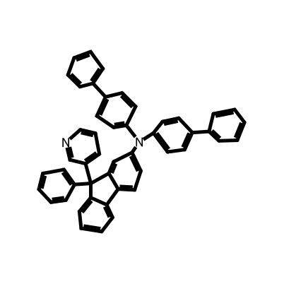 c1ccc(-c2ccc(N(c3ccc(-c4ccccc4)cc3)c3ccc4c(c3)C(c3ccccc3)(c3cccnc3)c3ccccc3-4)cc2)cc1